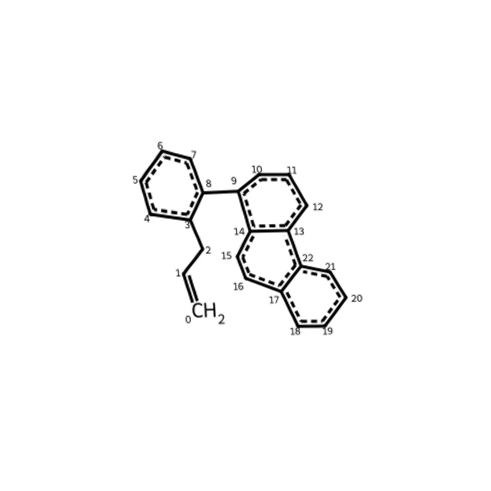 C=CCc1ccccc1-c1cccc2c1ccc1ccccc12